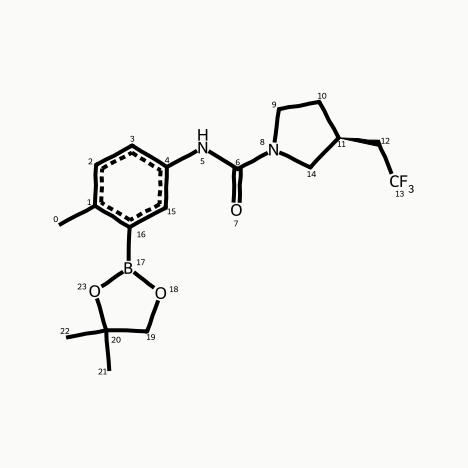 Cc1ccc(NC(=O)N2CC[C@@H](CC(F)(F)F)C2)cc1B1OCC(C)(C)O1